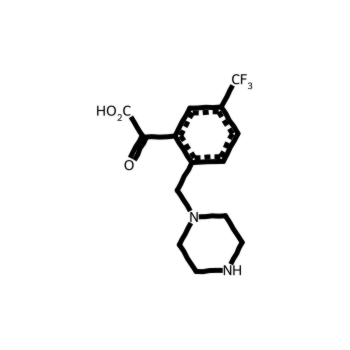 O=C(O)C(=O)c1cc(C(F)(F)F)ccc1CN1CCNCC1